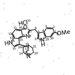 COc1ccc2c(Cc3nc4c(ccc5[nH]cc(C6CN7CCC6CC7)c54)o3)c[nH]c2c1.Cl